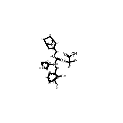 O=C(O)C(F)(F)F.O=C(OCC1CC2CCC(C1)N2)N(Cc1c(F)ccc(F)c1F)c1ccsc1